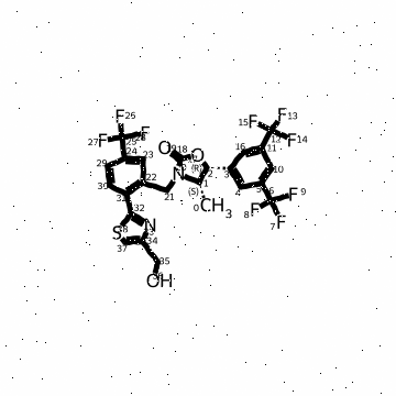 C[C@H]1[C@@H](c2cc(C(F)(F)F)cc(C(F)(F)F)c2)OC(=O)N1Cc1cc(C(F)(F)F)ccc1-c1nc(CO)cs1